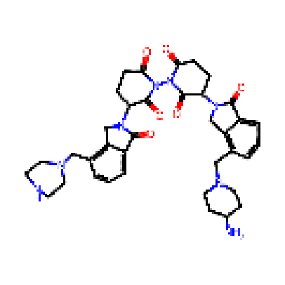 NC1CCN(Cc2cccc3c2CN(C2CCC(=O)N(N4C(=O)CCC(N5Cc6c(CN7CCNCC7)cccc6C5=O)C4=O)C2=O)C3=O)CC1